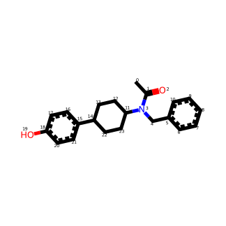 CC(=O)N(Cc1ccccc1)C1CCC(c2ccc(O)cc2)CC1